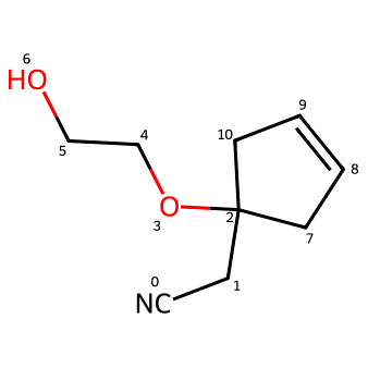 N#CCC1(OCCO)CC=CC1